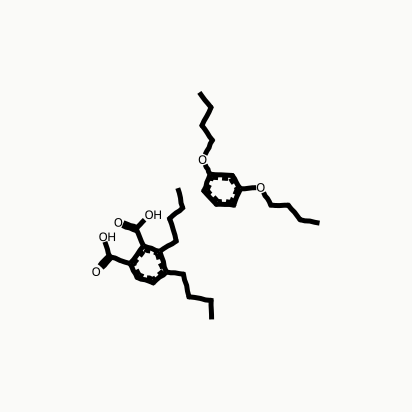 CCCCOc1cccc(OCCCC)c1.CCCCc1ccc(C(=O)O)c(C(=O)O)c1CCCC